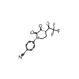 N#Cc1ccc(N2CCC(C(=O)C(F)(F)F)C(=O)C2=O)cc1